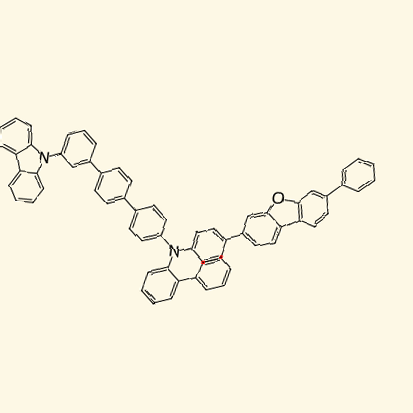 c1ccc(-c2ccc3c(c2)oc2cc(-c4ccc(N(c5ccc(-c6ccc(-c7cccc(-n8c9ccccc9c9ccccc98)c7)cc6)cc5)c5ccccc5-c5ccccc5)cc4)ccc23)cc1